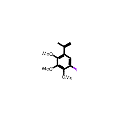 C=C(C)c1cc(I)c(OC)c(OC)c1OC